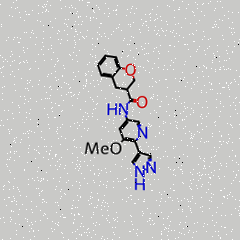 COc1cc(NC(=O)C2COc3ccccc3C2)cnc1-c1cn[nH]c1